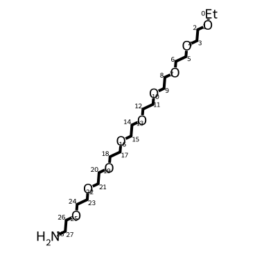 CCOCCOCCOCCOCCOCCOCCOCCOCCOCCN